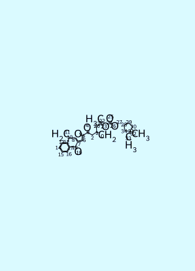 C=C(CC(=O)c1cc2c(o1)C(=C)c1ccccc1C2=O)CC(C)OC(=O)OC[C@@H]1CCC(C)(C)C1